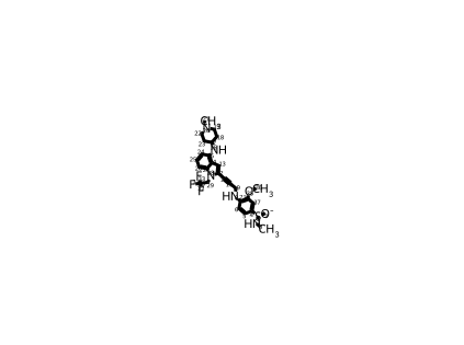 CN[S+]([O-])c1ccc(NCC#Cc2cc3c(NC4CCN(C)CC4)cccc3n2CC(F)(F)F)c(OC)c1